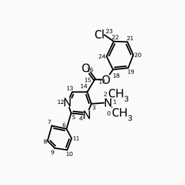 CN(C)c1nc(-c2ccccc2)ncc1C(=O)Oc1cccc(Cl)c1